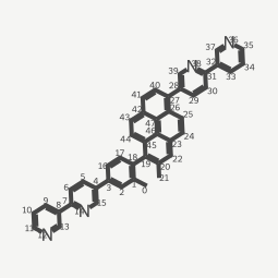 Cc1cc(-c2ccc(-c3cccnc3)nc2)ccc1-c1c(C)cc2ccc3c(-c4ccc(-c5cccnc5)nc4)ccc4ccc1c2c43